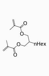 C=C(C)C(=O)OCC(CCCCCC)COC(=O)C(=C)C